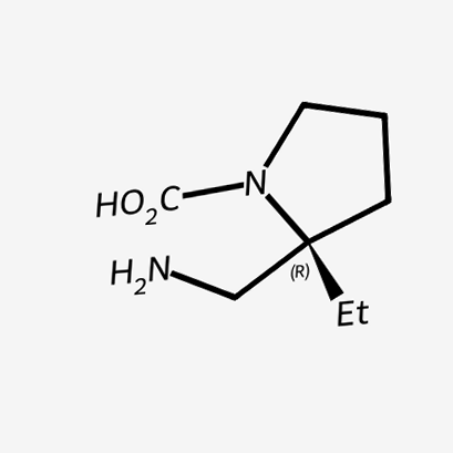 CC[C@]1(CN)CCCN1C(=O)O